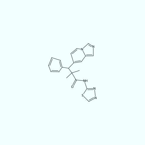 CC(C)(C(=O)Nc1nncs1)C(c1ccccc1)c1ccn2cncc2c1